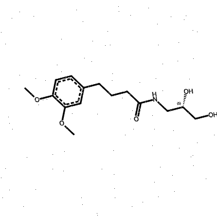 COc1ccc(CCCC(=O)NC[C@H](O)CO)cc1OC